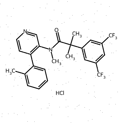 Cc1ccccc1-c1ccncc1N(C)C(=O)C(C)(C)c1cc(C(F)(F)F)cc(C(F)(F)F)c1.Cl